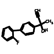 C#CC(C)(O)c1ccc(-c2ccccc2F)cc1